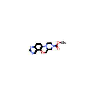 CC(C)(C)OC(=O)N1CCN2c3ccc4ncncc4c3OCC2C1